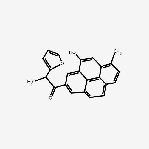 Cc1ccc2ccc3cc(C(=O)C(C)c4ccco4)cc4c(O)cc1c2c34